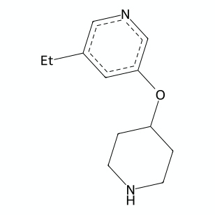 CCc1cncc(OC2CCNCC2)c1